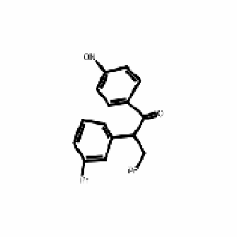 CC(C)CC(C(=O)c1ccc(N=O)cc1)c1cccc(C(C)C)c1